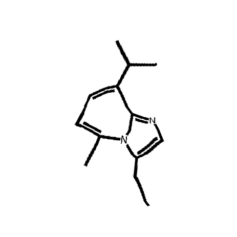 CCc1cnc2c(C(C)C)ccc(C)n12